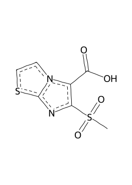 CS(=O)(=O)c1nc2sccn2c1C(=O)O